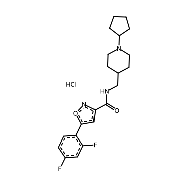 Cl.O=C(NCC1CCN(C2CCCC2)CC1)c1cc(-c2ccc(F)cc2F)on1